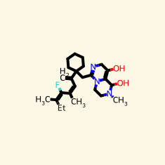 C=C(/C=C(C)\C(F)=C(\C)CC)C1(CC2=NCC(O)=C3C(O)N(C)CCN23)CCCCC1